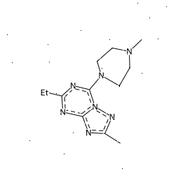 CCc1nc(N2CCN(C)CC2)n2nc(C)nc2n1